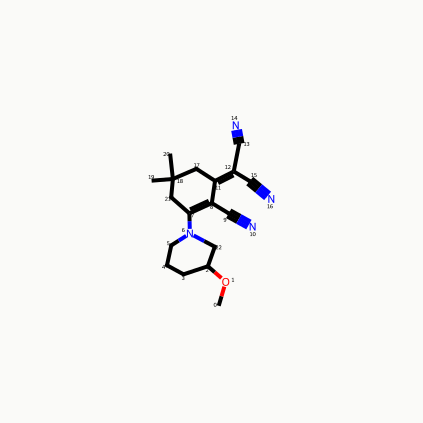 COC1CCCN(C2=C(C#N)C(=C(C#N)C#N)CC(C)(C)C2)C1